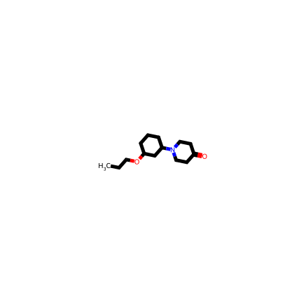 CCCOC1CCCC(N2CCC(=O)CC2)C1